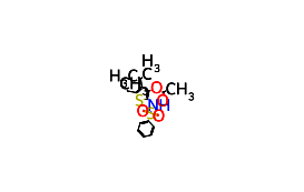 CCc1sc(NS(=O)(=O)c2ccccc2)c(OC(C)=O)c1C(C)C